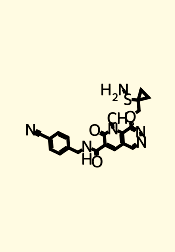 Cn1c(=O)c(C(=O)NCc2ccc(C#N)cc2)cc2cnnc(OCC3(SN)CC3)c21